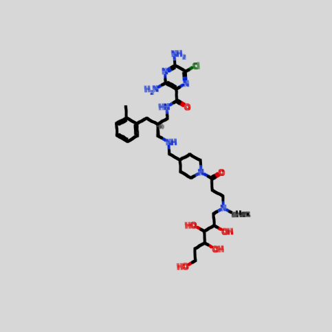 CCCCCCN(CCC(=O)N1CCC(CNC[C@H](CNC(=O)c2nc(Cl)c(N)nc2N)Cc2ccccc2C)CC1)CC(O)C(O)C(O)CCO